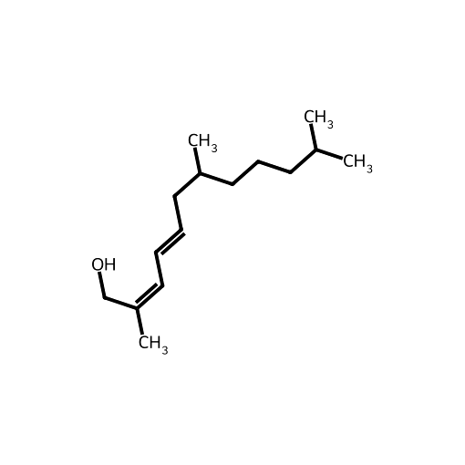 CC(=CC=CCC(C)CCCC(C)C)CO